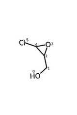 OCC1OC1Cl